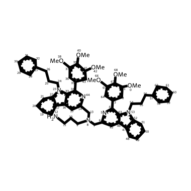 COc1cc(-c2nc(CN(CCCN)Cc3cc4c5ccccc5n(CCCc5ccccc5)c4c(-c4cc(OC)c(OC)c(OC)c4)n3)cc3c4ccccc4n(CCCc4ccccc4)c23)cc(OC)c1OC